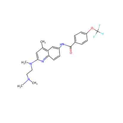 Cc1cc(N(C)CCN(C)C)nc2ccc(NC(=O)c3ccc(OC(F)(F)F)cc3)cc12